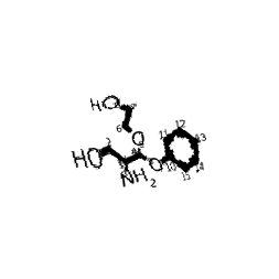 N[C@@H](CO)[C@H](OCCO)Oc1ccccc1